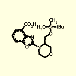 CC(C)(C)[Si](C)(C)OCC1COCCN1c1nc2c(C(=O)O)cccc2o1